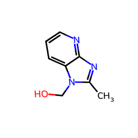 Cc1nc2ncccc2n1CO